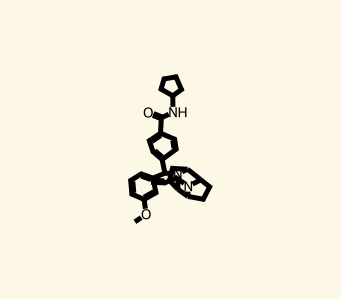 C=CCN1C2CCC1C1CCC2N1C(c1ccc(C(=O)NC2CCCC2)cc1)c1cccc(OC)c1